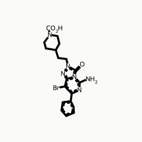 Nc1nc(-c2ccccc2)c(Br)c2nn(CCC3CCN(C(=O)O)CC3)c(=O)n12